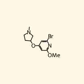 COc1cc(OC2CCN(C)C2)cc(Br)n1